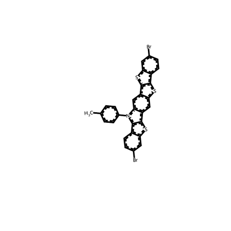 Cc1ccc(-n2c3cc4c(cc3c3sc5cc(Br)ccc5c32)sc2c3ccc(Br)cc3sc42)cc1